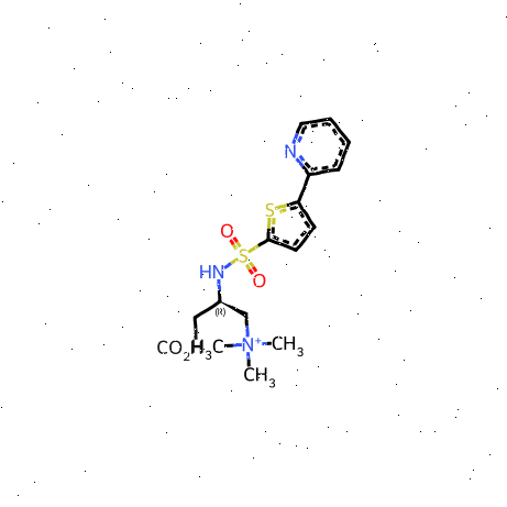 C[N+](C)(C)C[C@@H](CC(=O)O)NS(=O)(=O)c1ccc(-c2ccccn2)s1